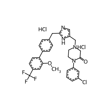 COc1cc(C(F)(F)F)ccc1-c1ccc(Cc2ncc(CN3CCN(c4cccc(Cl)c4)C(=O)C3)[nH]2)cc1.Cl.Cl